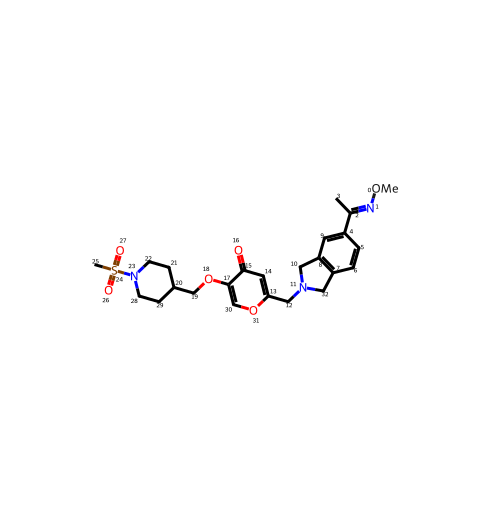 CO/N=C(\C)c1ccc2c(c1)CN(Cc1cc(=O)c(OCC3CCN(S(C)(=O)=O)CC3)co1)C2